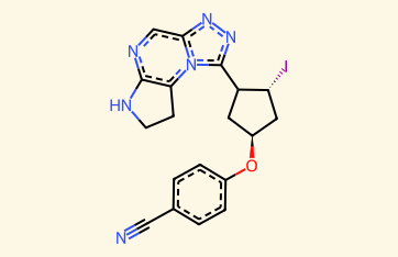 N#Cc1ccc(O[C@H]2CC(c3nnc4cnc5c(n34)CCN5)[C@H](I)C2)cc1